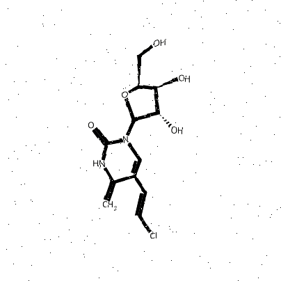 C=C1NC(=O)N(C2O[C@@H](CO)[C@@H](O)[C@@H]2O)C=C1/C=C/Cl